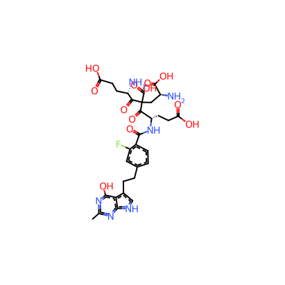 Cc1nc(O)c2c(CCc3ccc(C(=O)N[C@@H](CCC(=O)O)C(=O)C(C[C@H](N)C(=O)O)(C(=O)O)C(=O)[C@@H](N)CCC(=O)O)c(F)c3)c[nH]c2n1